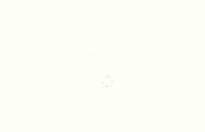 CN1CC(CCCN2CCCC2)c2ccccc21